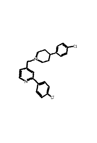 Clc1ccc(-c2cc(CN3CCC(c4ccc(Cl)cc4)CC3)ccn2)cc1